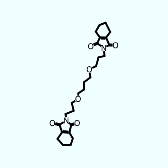 O=C1C2=C(CCCC2)C(=O)N1CCCOCCCCOCCCN1C(=O)C2=C(CCCC2)C1=O